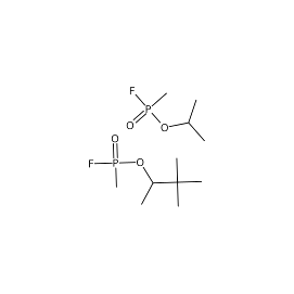 CC(C)OP(C)(=O)F.CC(OP(C)(=O)F)C(C)(C)C